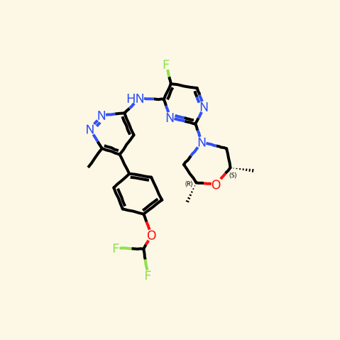 Cc1nnc(Nc2nc(N3C[C@@H](C)O[C@@H](C)C3)ncc2F)cc1-c1ccc(OC(F)F)cc1